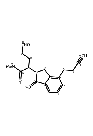 C#CCCc1cccc2c1CN(C(CCC=O)C(=O)NC)C2=O